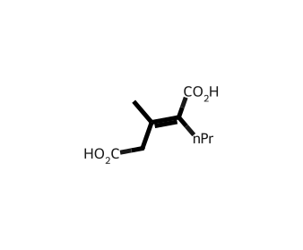 CCCC(C(=O)O)=C(C)CC(=O)O